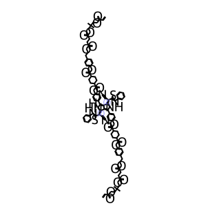 C=CC(=O)OCC(C)(C)COC(=O)CCC(=O)OCCc1ccc(OC(=O)C2CCC(C(=O)Oc3ccc(-c4[nH]/c(=C(/C#N)C5Nc6ccccc6S5)c5c(-c6ccc(OC(=O)C7CCC(C(=O)Oc8ccc(CCOC(=O)CCC(=O)OCC(C)(C)COC(=O)C=C)cc8)CC7)cc6)[nH]/c(=C(/C#N)c6nc7ccccc7s6)c45)cc3)CC2)cc1